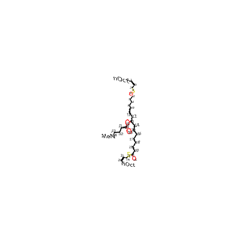 CCCCCCCC/C=C\CSOCCCC/C=C/CC(CCCCCCCC(=O)SC/C=C\CCCCCCCC)OC(=O)CCCNC